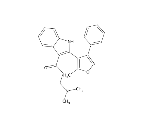 Cc1onc(-c2ccccc2)c1-c1[nH]c2ccccc2c1C(=O)CCN(C)C